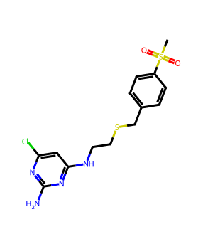 CS(=O)(=O)c1ccc(CSCCNc2cc(Cl)nc(N)n2)cc1